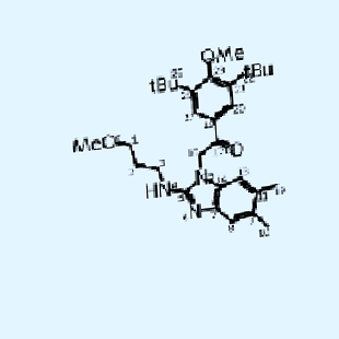 COCCCNc1nc2cc(C)c(C)cc2n1CC(=O)c1cc(C(C)(C)C)c(OC)c(C(C)(C)C)c1